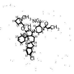 C=CC(=O)N1CCN(C2NC(OCC3CCCN3C)NC3(C4CCCCC4)C[C@]4(CCC23)Cc2cc(Cl)ccc2S4)CC1CC#N